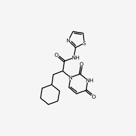 O=C(Nc1nccs1)C(CC1CCCCC1)n1ccc(=O)[nH]c1=O